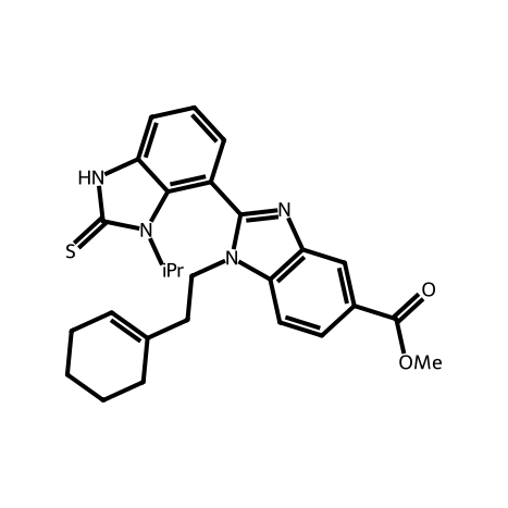 COC(=O)c1ccc2c(c1)nc(-c1cccc3[nH]c(=S)n(C(C)C)c13)n2CCC1=CCCCC1